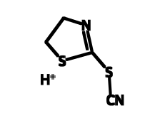 N#CSC1=NCCS1.[H+]